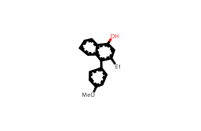 CCc1cc(O)c2ccccc2c1-c1ccc(OC)cc1